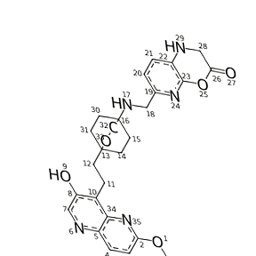 COc1ccc2ncc(O)c(CCC34CCC(NCc5ccc6c(n5)OC(=O)CN6)(CC3)CO4)c2n1